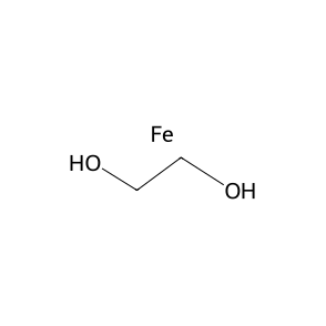 OCCO.[Fe]